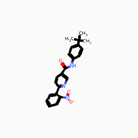 CC(C)(C)c1ccc(NC(=O)c2ccc(-c3ccccc3[N+](=O)[O-])nc2)cc1